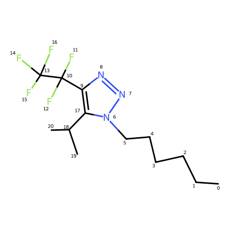 CCCCCCn1nnc(C(F)(F)C(F)(F)F)c1C(C)C